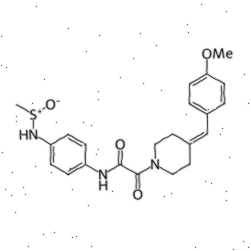 COc1ccc(C=C2CCN(C(=O)C(=O)Nc3ccc(N[S+](C)[O-])cc3)CC2)cc1